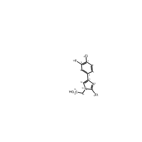 CCc1nc(-c2ccc(Cl)c(F)c2)cn1CC(=O)O